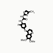 COc1cc2nccc(Oc3ccc(NC(=O)Nc4ncc(C)s4)c(F)c3)c2cc1OC